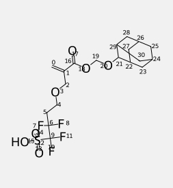 C=C(COCCC(F)(F)C(F)(F)S(=O)(=O)O)C(=O)OCOC1C2CC3CC(C2)CC1C3